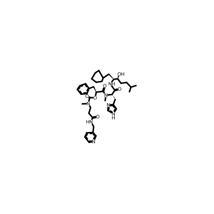 CC(C)CC[C@H](O)[C@H](CC1CCCCC1)NC(=O)[C@H](Cc1c[nH]cn1)N(C)C(=O)[C@H](Cc1ccccc1)OC(=O)N(C)CCC(=O)NCc1cccnc1